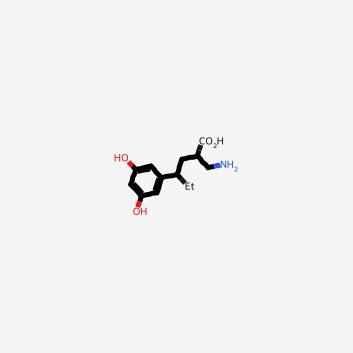 CCC(CC(CN)C(=O)O)c1cc(O)cc(O)c1